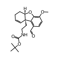 COc1ccc(C=O)c2c1O[C@H]1CCC=C[C@@]21CCNC(=O)OC(C)(C)C